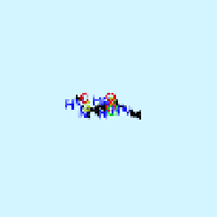 CC(=O)Nc1nc(C)c(-c2cnc(Cl)c(NS(=O)(=O)CCCNCCC(C)C)c2)s1